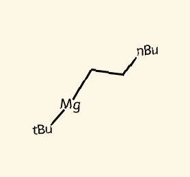 CCCCC[CH2][Mg][C](C)(C)C